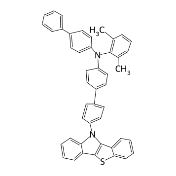 Cc1cccc(C)c1N(c1ccc(-c2ccccc2)cc1)c1ccc(-c2ccc(-n3c4ccccc4c4sc5ccccc5c43)cc2)cc1